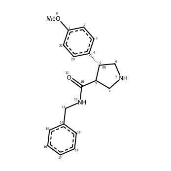 COc1ccc([C@@H]2CNCC2C(=O)NCc2ccccc2)cc1